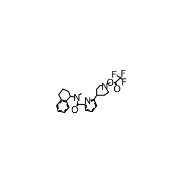 CN(C(=O)c1cccc(C2CCN(OC(=O)C(F)(F)F)CC2)n1)C1CCCc2ccccc21